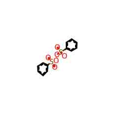 O=S(=O)(OOS(=O)(=O)c1ccccc1)c1ccccc1